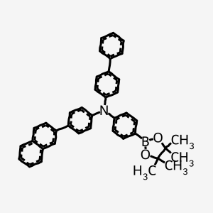 CC1(C)OB(c2ccc(N(c3ccc(-c4ccccc4)cc3)c3ccc(-c4ccc5ccccc5c4)cc3)cc2)OC1(C)C